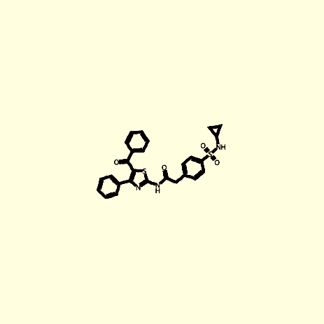 O=C(Cc1ccc(S(=O)(=O)NC2CC2)cc1)Nc1nc(-c2ccccc2)c(C(=O)c2ccccc2)s1